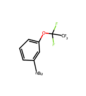 [CH2]CCCc1cccc(OC(F)(F)C(F)(F)F)c1